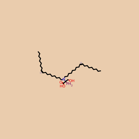 CCCCCCCC/C=C\CCCCCCCCN(CCCCCCCC/C=C\CCCCCCCC)C(P)(CO)C(=O)O